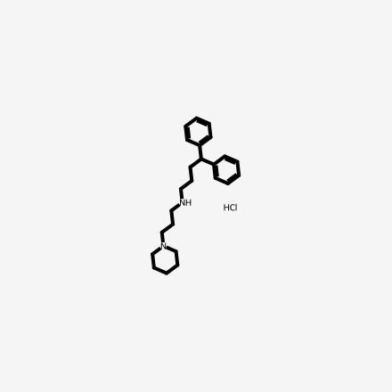 Cl.c1ccc(C(CCCNCCCN2CCCCC2)c2ccccc2)cc1